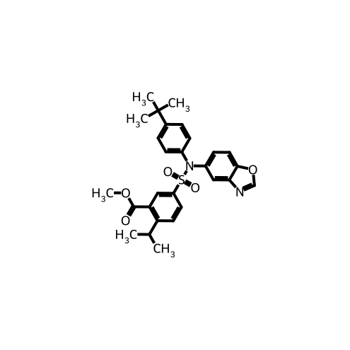 COC(=O)c1cc(S(=O)(=O)N(c2ccc(C(C)(C)C)cc2)c2ccc3ocnc3c2)ccc1C(C)C